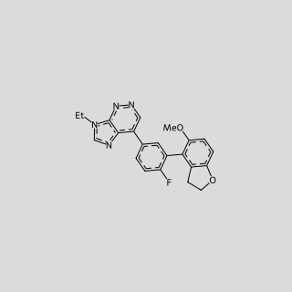 CCn1cnc2c(-c3ccc(F)c(-c4c(OC)ccc5c4CCO5)c3)cnnc21